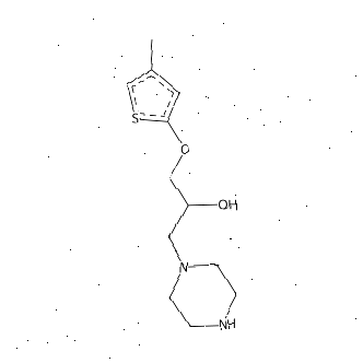 Cc1csc(OCC(O)CN2CCNCC2)c1